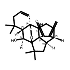 C=C1C(=O)[C@@]23[C@@H]4CC(C)(C)C25OC[C@]2(C=CCC(C)(C)[C@H]2[C@@H]5O)[C@@H]3CC[C@@H]14